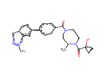 CC1CN(C(=O)c2ccc(-c3ccc4cnn(C)c4c3)cc2)CCN1C(=O)C1(O)CC1